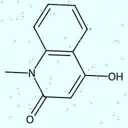 Cn1c(=O)cc(O)c2[c]cccc21